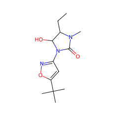 CCC1C(O)N(c2cc(C(C)(C)C)on2)C(=O)N1C